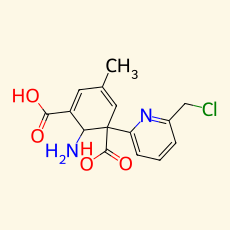 CC1=CC(C(=O)O)(c2cccc(CCl)n2)C(N)C(C(=O)O)=C1